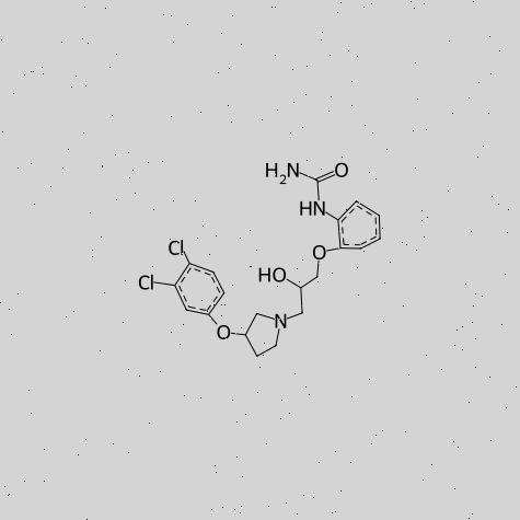 NC(=O)Nc1ccccc1OCC(O)CN1CCC(Oc2ccc(Cl)c(Cl)c2)C1